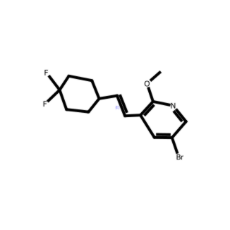 COc1ncc(Br)cc1/C=C/C1CCC(F)(F)CC1